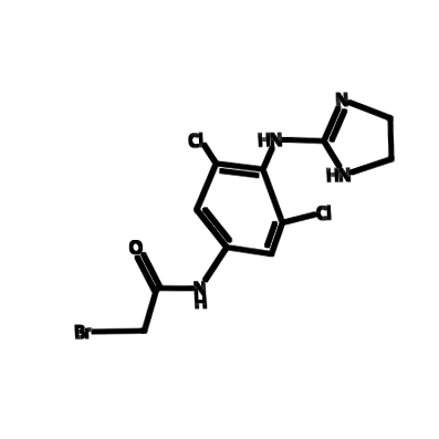 O=C(CBr)Nc1cc(Cl)c(NC2=NCCN2)c(Cl)c1